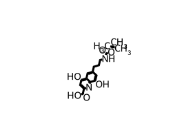 CC(C)(C)OC(=O)NCCCc1cc(O)c2nc(C(=O)O)cc(O)c2c1